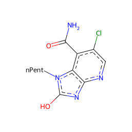 CCCCCn1c(O)nc2ncc(Cl)c(C(N)=O)c21